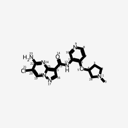 CN1CCC(Oc2ccncc2NC(=O)c2cnn3cc(Cl)c(N)nc23)C1